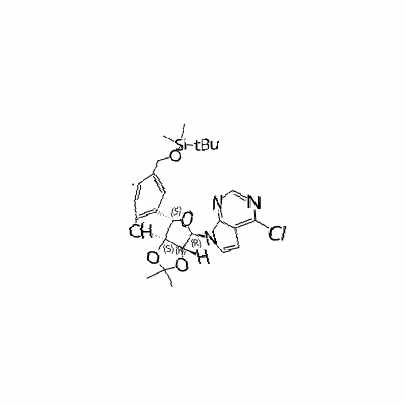 CC1(C)O[C@@H]2[C@@H](O1)[C@H](c1cc(CO[Si](C)(C)C(C)(C)C)[c]cc1Cl)O[C@H]2n1ccc2c(Cl)ncnc21